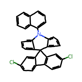 Clc1ccc2c(c1)C1(c3cc(Cl)ccc3-2)c2ccccc2N(c2cccc3ccccc23)c2ccccc21